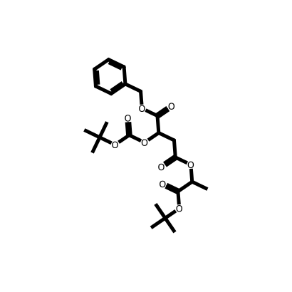 CC(OC(=O)CC(OC(=O)OC(C)(C)C)C(=O)OCc1ccccc1)C(=O)OC(C)(C)C